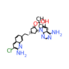 CC(C)(O)O[C@@H]1C[C@@H](CCc2ccc3cc(Cl)c(N)nc3c2)C[C@H]1n1ccc2c(N)ncnc21